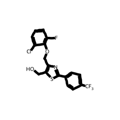 OCc1sc(-c2ccc(C(F)(F)F)cc2)nc1COc1c(F)cccc1Cl